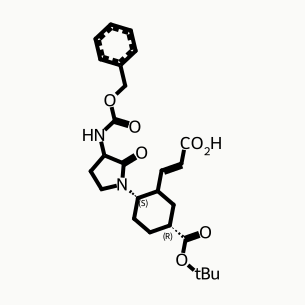 CC(C)(C)OC(=O)[C@@H]1CC[C@H](N2CCC(NC(=O)OCc3ccccc3)C2=O)C(C=CC(=O)O)C1